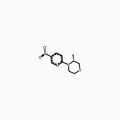 C[C@H]1COCCN1c1ccc([N+](=O)[O-])cn1